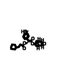 Br.CN1[C@@H]2C[C@@H](OC(=O)[C@H](COC(=O)CCC3CCCCC3)c3ccccc3)C[C@H]1[C@@H]1O[C@@H]12